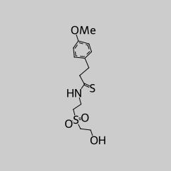 COc1ccc(CCC(=S)NCCS(=O)(=O)CCO)cc1